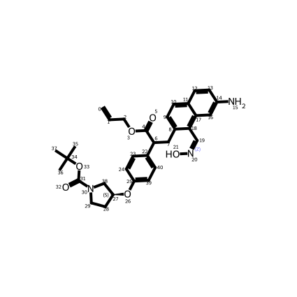 C=CCOC(=O)C(Cc1ccc2ccc(N)cc2c1/C=N\O)c1ccc(O[C@H]2CCN(C(=O)OC(C)(C)C)C2)cc1